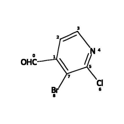 O=Cc1ccnc(Cl)c1Br